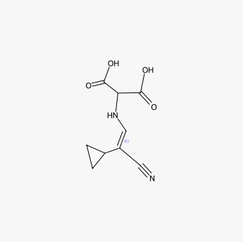 N#C/C(=C/NC(C(=O)O)C(=O)O)C1CC1